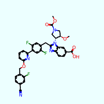 COC(=O)N1C[C@@H](n2c(Cc3cc(F)c(-c4cccc(OCc5ccc(C#N)cc5F)n4)cc3F)nc3ccc(C(=O)O)cc32)[C@H](OC)C1